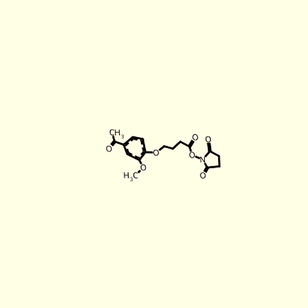 COc1cc(C(C)=O)ccc1OCCCC(=O)ON1C(=O)CCC1=O